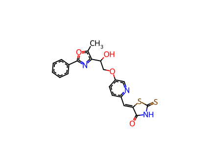 Cc1oc(-c2ccccc2)nc1C(O)COc1ccc(/C=C2\SC(=S)NC2=O)nc1